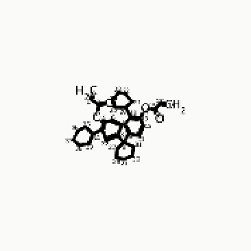 C=CC(=O)Oc1ccc(C2(c3ccc(OC(=O)C=C)c(C4CCCCC4)c3)CCCCC2)cc1C1CCCCC1